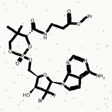 CC(C)OC(=O)CCNC(=O)[C@@H]1OP(=O)(OC[C@H]2O[C@@H](n3ccc4c(N)ncnc43)C(F)(Br)[C@H]2O)OCC1(C)C